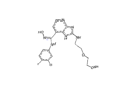 COCCOCCNc1nc2nccc(/C(=N\O)Nc3ccc(F)c(Cl)c3)c2[nH]1